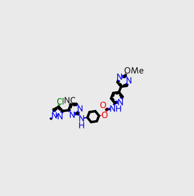 COc1ncc(-c2ccc(NC(=O)O[C@H]3CC[C@H](Nc4ncc(C#N)c(-c5nn(C)cc5Cl)n4)CC3)nc2)cn1